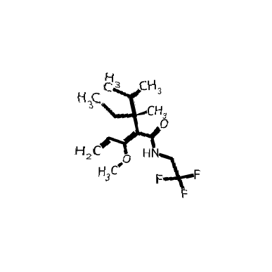 C=C/C(OC)=C(/C(=O)NCC(F)(F)F)[C@](C)(CC)C(C)C